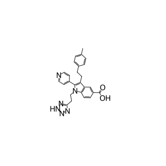 Cc1ccc(CCc2c(-c3ccncc3)n(CCc3nn[nH]n3)c3ccc(C(=O)O)cc23)cc1